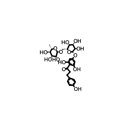 C[C@@H]1O[C@@H](OC[C@H]2O[C@@H](Oc3cc(O)c(C(=O)CCc4ccc(O)cc4)c(O)c3)[C@H](O)[C@@H](O)[C@@H]2O)[C@H](O)[C@H](O)[C@H]1O